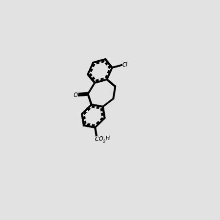 O=C(O)c1ccc2c(c1)CCc1c(Cl)cccc1C2=O